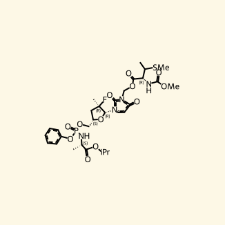 COC(=O)N[C@H](C(=O)OCn1c(=O)ccn([C@@H]2O[C@H](COP(=O)(N[C@@H](C)C(=O)OC(C)C)Oc3ccccc3)C[C@@]2(C)F)c1=O)C(C)SC